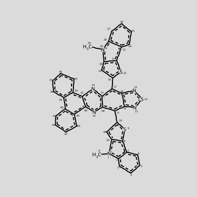 Cn1c2ccccc2c2sc(-c3c4nsnc4c(-c4cc5c(s4)c4ccccc4n5C)c4nc5c6ccccc6c6ccccc6c5nc34)cc21